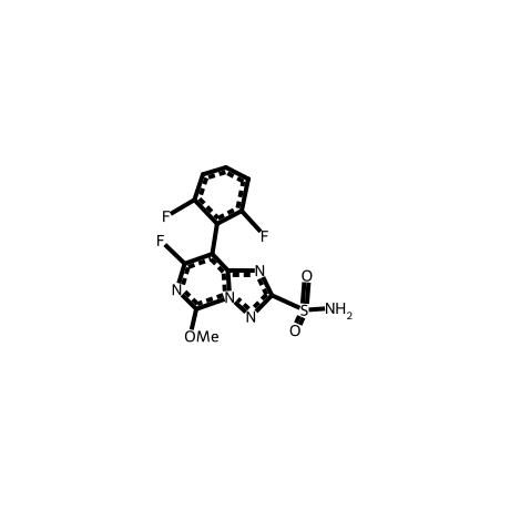 COc1nc(F)c(-c2c(F)cccc2F)c2nc(S(N)(=O)=O)nn12